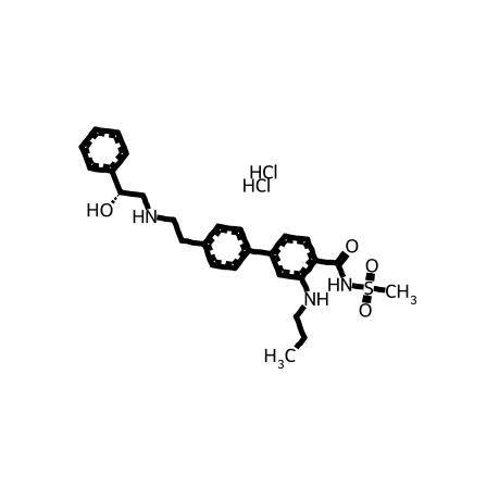 CCCNc1cc(-c2ccc(CCNC[C@H](O)c3ccccc3)cc2)ccc1C(=O)NS(C)(=O)=O.Cl.Cl